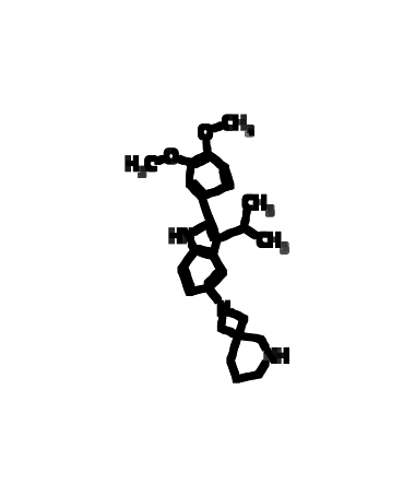 COc1ccc(-c2[nH]c3ccc(N4CC5(CCCNC5)C4)cc3c2C(C)C)cc1OC